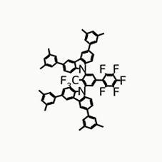 Cc1cc(C)cc(-c2ccc3c(c2)c2cc(-c4cc(C)cc(C)c4)ccc2n3-c2cc(-c3c(F)c(F)c(F)c(F)c3F)cc(-n3c4ccc(-c5cc(C)cc(C)c5)cc4c4cc(-c5cc(C)cc(C)c5)ccc43)c2C(F)(F)F)c1